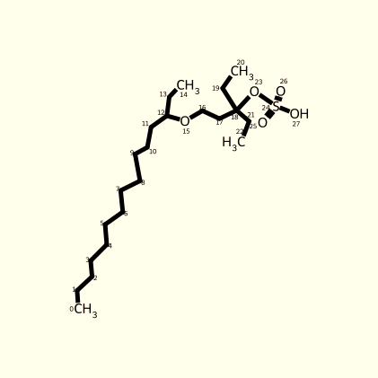 CCCCCCCCCCCCC(CC)OCCC(CC)(CC)OS(=O)(=O)O